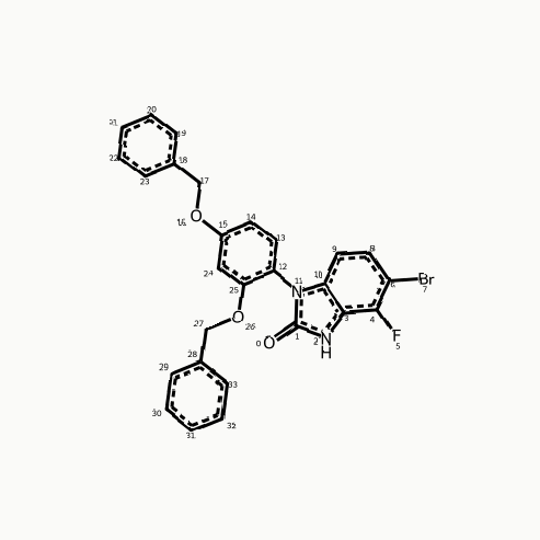 O=c1[nH]c2c(F)c(Br)ccc2n1-c1ccc(OCc2ccccc2)cc1OCc1ccccc1